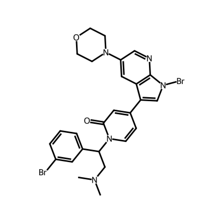 CN(C)CC(c1cccc(Br)c1)n1ccc(-c2cn(Br)c3ncc(N4CCOCC4)cc23)cc1=O